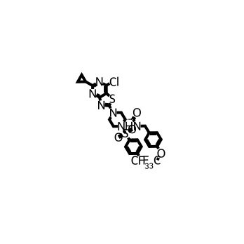 O=C(NCc1ccc(OC(F)(F)F)cc1)[C@H]1CN(c2nc3nc(C4CC4)nc(Cl)c3s2)CCN1S(=O)(=O)c1ccc(C(F)(F)F)cc1